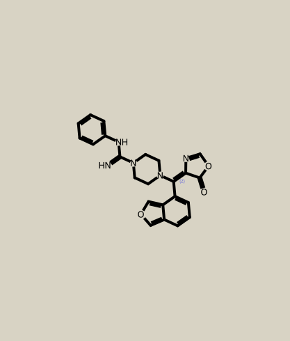 N=C(Nc1ccccc1)N1CCN(/C(=C2\N=COC2=O)c2cccc3cocc23)CC1